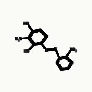 O=[N+]([O-])c1ccccc1N=Nc1ccc(O)c([N+](=O)[O-])c1O